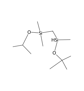 CC(C)O[Si](C)(C)C[SiH](C)OC(C)(C)C